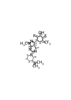 CN(C)C1CCCN(c2ncc3c(-c4cc(C(F)(F)F)c(F)c(O)c4F)nn(C)c3n2)C1